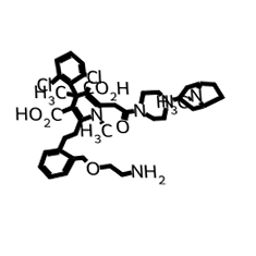 CN1C(CCc2ccccc2COCCN)=C(C(=O)O)C(C)(c2c(Cl)cccc2Cl)C(C(=O)O)=C1CC(=O)N1CCN(C2CC3CCC(C2)N3C)CC1